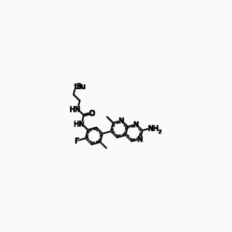 Cc1cc(F)c(NC(=O)NCCC(C)(C)C)cc1-c1cc2cnc(N)nc2nc1C